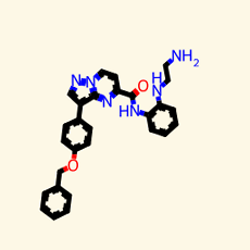 NCCNc1ccccc1NC(=O)c1ccn2ncc(-c3ccc(OCc4ccccc4)cc3)c2n1